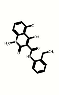 CCc1ccccc1NC(=O)c1c(O)c2c(Cl)cccc2n(C)c1=O